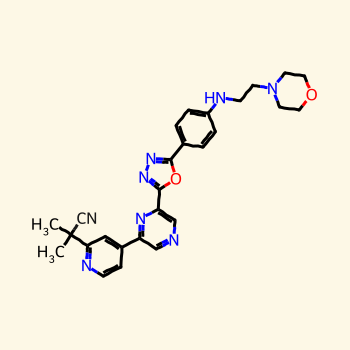 CC(C)(C#N)c1cc(-c2cncc(-c3nnc(-c4ccc(NCCN5CCOCC5)cc4)o3)n2)ccn1